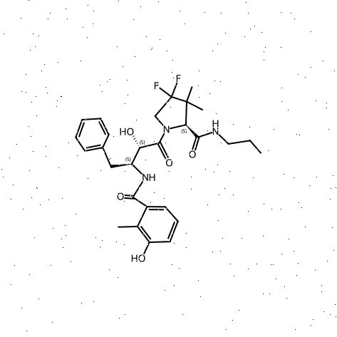 CCCNC(=O)[C@H]1N(C(=O)[C@@H](O)[C@H](Cc2ccccc2)NC(=O)c2cccc(O)c2C)CC(F)(F)C1(C)C